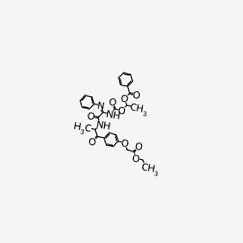 CCOC(=O)COc1ccc(C(=O)C(C)NC(=O)/C(=N\c2ccccc2)NC(=O)OC(C)OC(=O)c2ccccc2)cc1